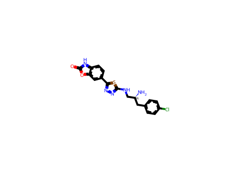 N[C@@H](CNc1nnc(-c2ccc3[nH]c(=O)oc3c2)s1)Cc1ccc(Cl)cc1